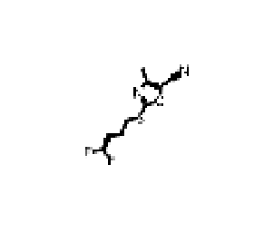 Cc1nc(SCCC=C(F)F)oc1C#N